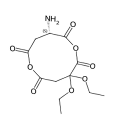 CCOC1(OCC)CC(=O)OC(=O)C[C@H](N)C(=O)OC1=O